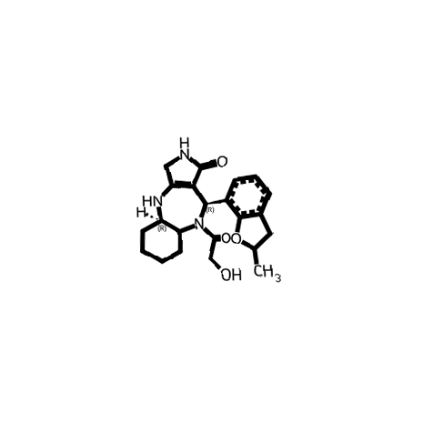 CC1Cc2cccc([C@@H]3C4=C(CNC4=O)N[C@@H]4CCCCC4N3C(=O)CO)c2O1